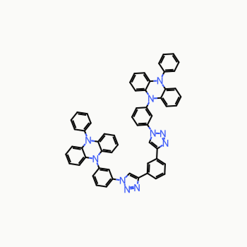 c1ccc(N2c3ccccc3N(c3cccc(-n4cc(-c5cccc(-c6cn(-c7cccc(N8c9ccccc9N(c9ccccc9)c9ccccc98)c7)nn6)c5)nn4)c3)c3ccccc32)cc1